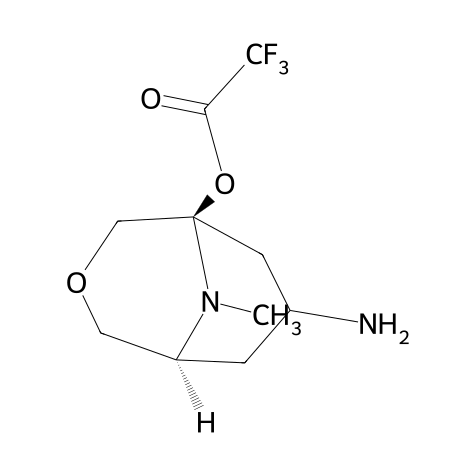 CN1[C@@H]2COC[C@]1(OC(=O)C(F)(F)F)CC(N)C2